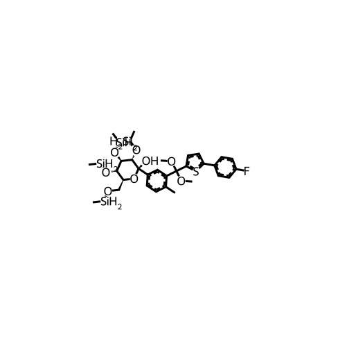 COC(OC)(c1ccc(-c2ccc(F)cc2)s1)c1cc([C@]2(O)O[C@@H](CO[SiH2]C)[C@H](O[SiH2]C)[C@@H](O[SiH2]C)[C@@H]2O[SiH2]C)ccc1C